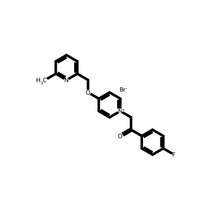 Cc1cccc(COc2cc[n+](CC(=O)c3ccc(F)cc3)cc2)n1.[Br-]